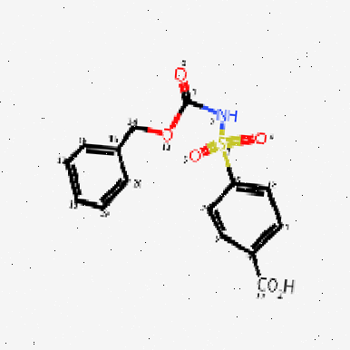 O=C(NS(=O)(=O)c1ccc(C(=O)O)cc1)OCc1ccccc1